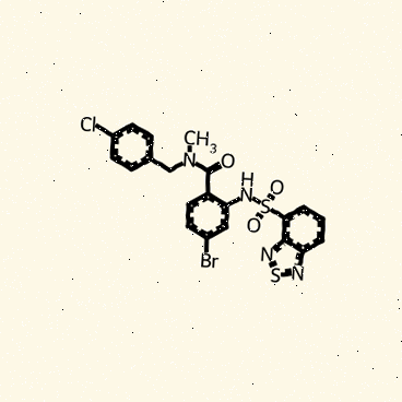 CN(Cc1ccc(Cl)cc1)C(=O)c1ccc(Br)cc1NS(=O)(=O)c1cccc2nsnc12